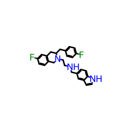 Fc1ccc(CC2Cc3cc(F)ccc3CN2CCNCc2ccc3[nH]ccc3c2)cc1